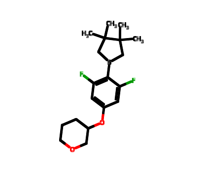 CC1(C)CB(c2c(F)cc(OC3CCCOC3)cc2F)CC1(C)C